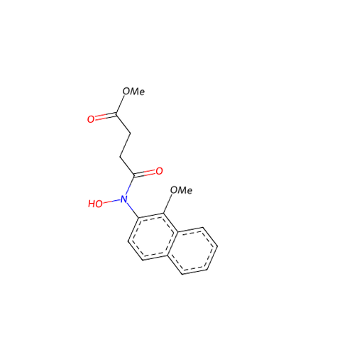 COC(=O)CCC(=O)N(O)c1ccc2ccccc2c1OC